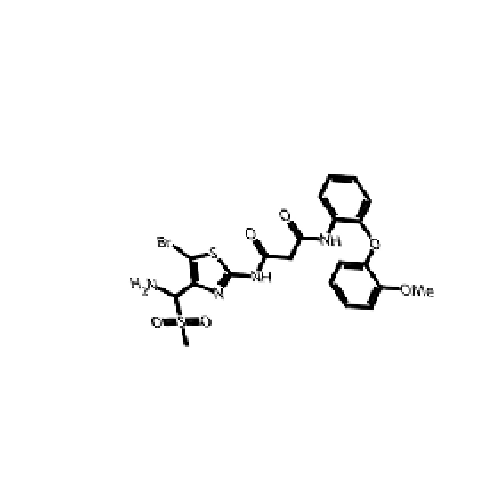 COc1ccccc1Oc1ccccc1NC(=O)CC(=O)Nc1nc(C(N)S(C)(=O)=O)c(Br)s1